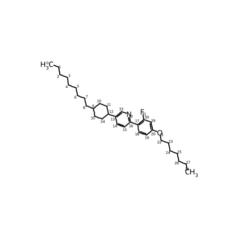 CCCCCCCCCC1CCC(c2ccc(-c3ccc(OCCCCCCC)cc3F)nc2)CC1